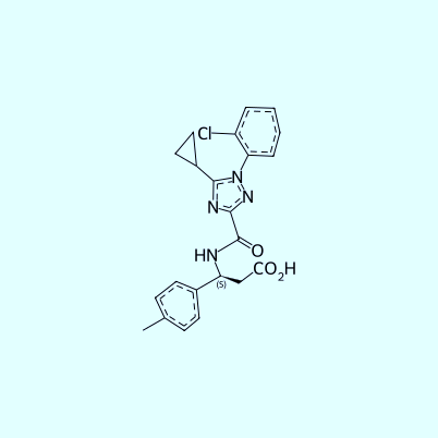 Cc1ccc([C@H](CC(=O)O)NC(=O)c2nc(C3CC3)n(-c3ccccc3Cl)n2)cc1